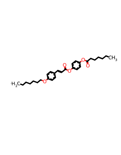 [CH2]CCCCCCOc1ccc(/C=C/C(=O)Oc2ccc(OC(=O)CCCCCC)cc2)cc1